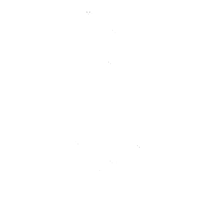 COc1cccc(CNc2ccc3c(c2)Cc2ccnc(-c4cc(N5CCOCC5)cc(=O)[nH]4)c2O3)n1